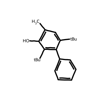 Cc1cc(C(C)(C)C)c(-c2ccccc2)c(C(C)(C)C)c1O